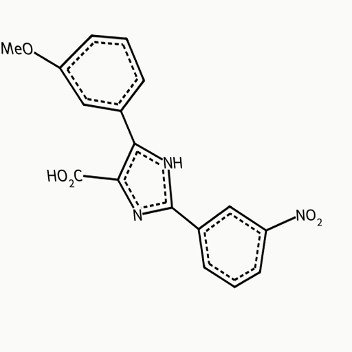 COc1cccc(-c2[nH]c(-c3cccc([N+](=O)[O-])c3)nc2C(=O)O)c1